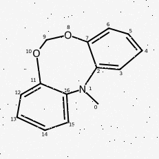 CN1c2ccccc2OCOc2ccccc21